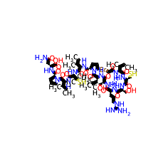 CC[C@H](C)[C@H](NC(=O)CBr)C(=O)N[C@@H](CS)C(=O)N[C@@H](CO)C(=O)N[C@@H](CCCNC(=N)N)C(=O)N[C@@H](CO)C(=O)N[C@@H](CC(C)(C)C)C(=O)N1CCC[C@H]1C(=O)N[C@H](C(=O)N[C@H](C(=O)N[C@H](C(=O)N1CCC[C@H]1C(=O)N[C@@H](CC(N)=O)C(=O)O)[C@@H](C)CC)C(C)(C)S)[C@@H](C)CC